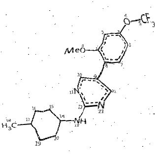 COc1cc(OC(F)(F)F)ccc1-c1cnc(NC2CCC(C)CC2)nc1